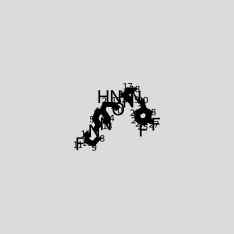 O=C(Cc1ccc(N2CC[C@H](F)C2)nc1)Nc1ccn(Cc2ccc(F)c(F)c2)n1